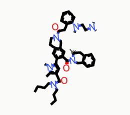 CCCCN(CCCC)C(=O)c1cc(-c2cc3c(cc2C(=O)N2Cc4ccccc4C[C@H]2C)CN(C(=O)Cc2ccccc2N(C)CCN(C)C)CC3)n(C)c1C